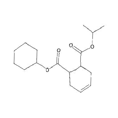 CC(C)OC(=O)C1CC=CCC1C(=O)OC1CCCCC1